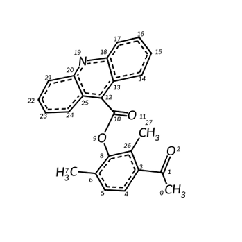 CC(=O)c1ccc(C)c(OC(=O)c2c3ccccc3nc3ccccc23)c1C